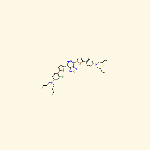 CCCCN(CCCC)c1ccc(-c2ccc(-c3nnc(-c4ccc(-c5ccc(N(CCCC)CCCC)cc5F)s4)c4nsnc34)s2)c(F)c1